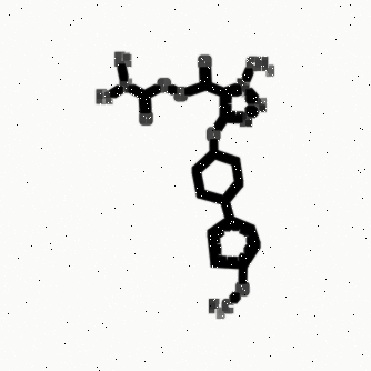 CCN(CC)C(=O)OOC(=O)c1c(OC2CCC(c3ccc(OC(F)(F)F)cc3)CC2)nnn1C